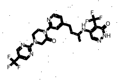 CC(CCc1ccnc(N2CCN(c3ncc(C(F)(F)F)cn3)CC2=O)c1)Nc1cn[nH]c(=O)c1C(F)(F)F